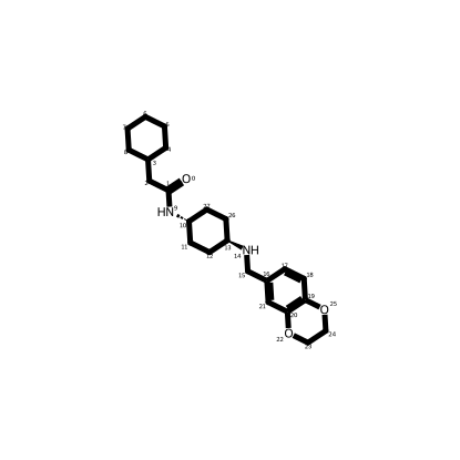 O=C(CC1CCCCC1)N[C@H]1CC[C@H](NCc2ccc3c(c2)OCCO3)CC1